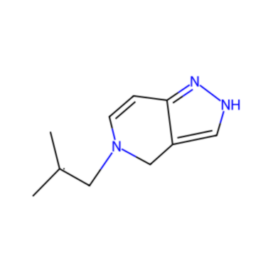 C[C](C)CN1C=Cc2n[nH]cc2C1